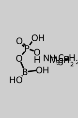 N.O=P(O)(O)OB(O)O.[CaH2].[MgH2]